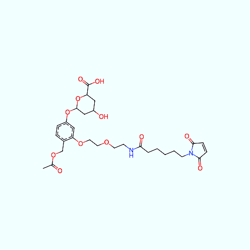 CC(=O)OCc1ccc(OC2CC(O)CC(C(=O)O)O2)cc1OCCOCCNC(=O)CCCCCN1C(=O)C=CC1=O